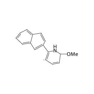 COC1C=C[C]=C(c2ccc3ccccc3c2)N1